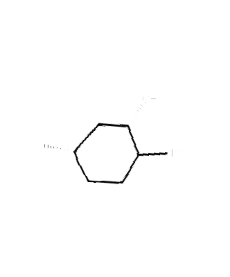 CC(C)C1CC[C@H](C)C[C@@H]1O